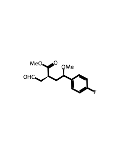 COC(=O)[C@H](CC=O)C[C@@H](OC)c1ccc(F)cc1